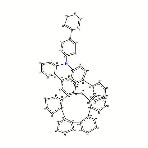 C1=CC(c2ccc(N(c3ccc(-c4ccccc4)cc3)c3ccccc3-c3ccc4c(c3)-c3ccccc3-c3ccccc3-c3ccccc3-c3ccccc3S4)cc2)=CCC1